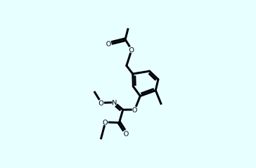 CON=C(Oc1cc(COC(C)=O)ccc1C)C(=O)OC